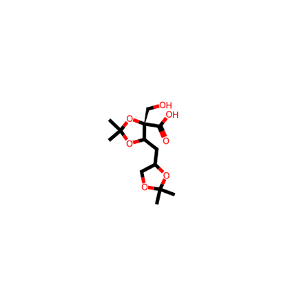 CC1(C)OCC(CC2OC(C)(C)O[C@]2(CO)C(=O)O)O1